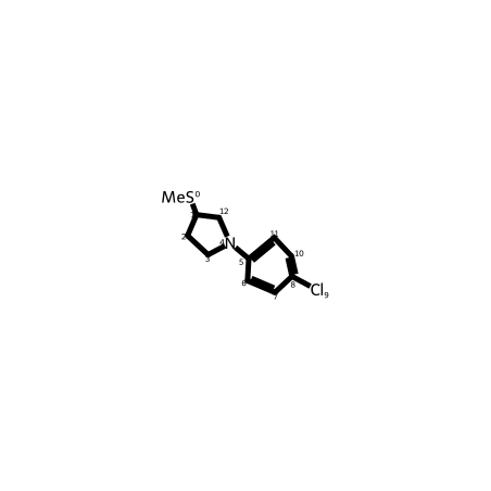 CSC1CCN(c2ccc(Cl)cc2)C1